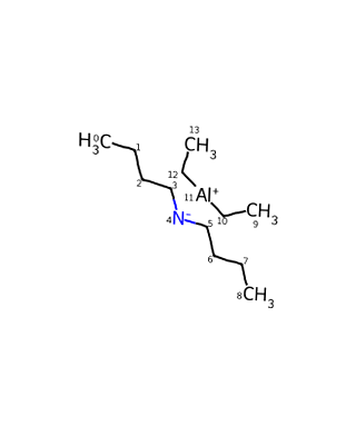 CCCC[N-]CCCC.C[CH2][Al+][CH2]C